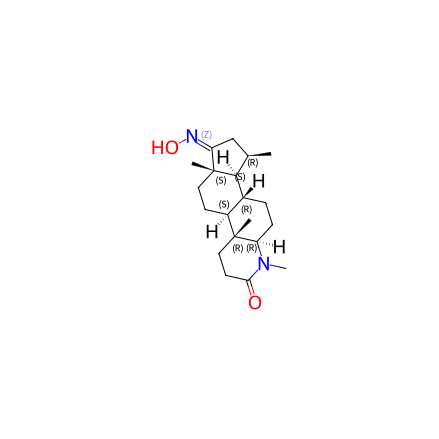 C[C@@H]1C/C(=N/O)[C@@]2(C)CC[C@H]3[C@@H](CC[C@H]4N(C)C(=O)CC[C@]34C)[C@H]12